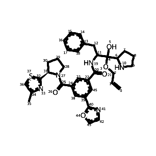 C=CCOC(O)(C1CCCN1)C(Cc1ccccc1)NC(=O)c1cc(C(=O)N2CCC[C@@H]2c2nc(C)cs2)cc(-c2ncco2)c1